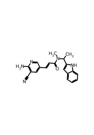 CC(c1cc2ccccc2[nH]1)N(C)C(=O)C=Cc1cnc(N)c(C#N)c1